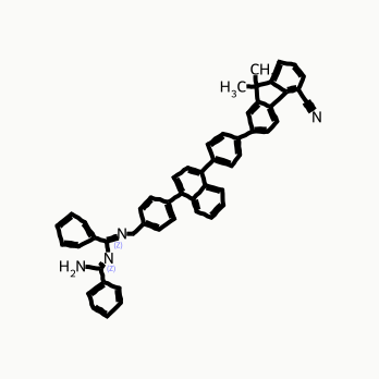 CC1(C)c2cc(-c3ccc(-c4ccc(-c5ccc(C/N=C(\N=C(/N)c6ccccc6)c6ccccc6)cc5)c5ccccc45)cc3)ccc2-c2c(C#N)cccc21